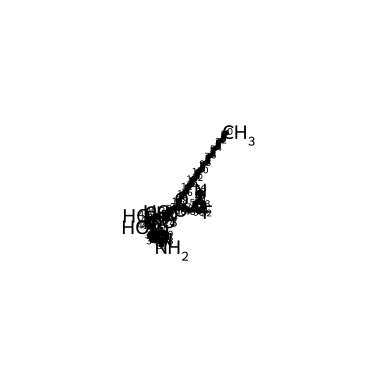 CCCCCCCCCCCCCCCCCCOC[C@H](COP(=O)(O)OC[C@@]1(C)O[C@@H](c2ccc3c(N)ncnn23)[C@H](O)[C@@H]1O)OCCc1cc(F)cc(C#N)c1